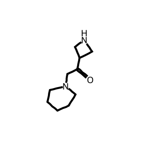 O=C(CN1CCCCC1)C1CNC1